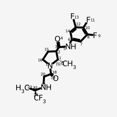 C[C@H]1C(C(=O)Nc2cc(F)c(F)c(F)c2)CCN1C(=O)CN[C@H](C)C(F)(F)F